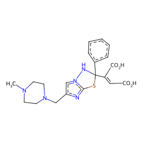 CN1CCN(Cc2cn3c(n2)SC(C(=CC(=O)O)C(=O)O)(c2ccccc2)N3)CC1